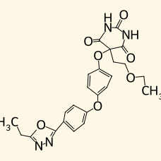 CCOCCC1(Oc2ccc(Oc3ccc(-c4nnc(CC)o4)cc3)cc2)C(=O)NC(=O)NC1=O